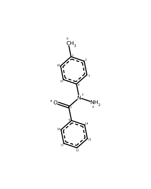 Cc1ccc(N(N)C(=O)c2ccccc2)cc1